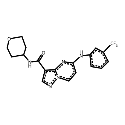 O=C(NC1CCOCC1)c1cnn2ccc(Nc3cccc(C(F)(F)F)c3)nc12